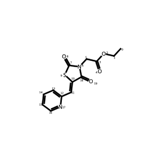 CCOC(=O)CN1C(=O)S/C(=C\c2ccccn2)C1=O